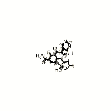 CCCC(Cc1ccc(C(N)=O)c(F)c1C(=O)c1c[nH]c2ncncc12)S(=O)(=O)O